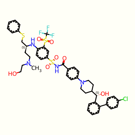 CN(CCO)CC[C@@H](CSc1ccccc1)Nc1ccc(S(=O)(=O)NC(=O)c2ccc(N3CCC([C@H](O)c4ccccc4-c4ccc(Cl)cc4)CC3)cc2)cc1S(=O)(=O)C(F)(F)F